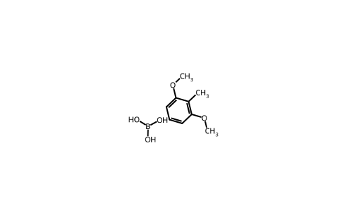 COc1cccc(OC)c1C.OB(O)O